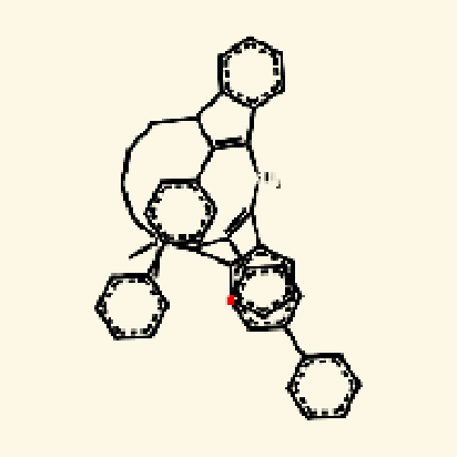 [CH3][Hf]1([CH3])[CH2]CCCC2C(c3ccc(-c4ccccc4)cc3)=C([SiH2]C3=C(c4ccc(-c5ccccc5)cc4)[CH]1c1ccccc13)c1ccccc12